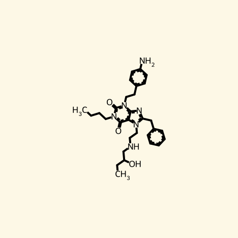 CCCCn1c(=O)c2c(nc(Cc3ccccc3)n2CCNCC(O)CC)n(CCc2ccc(N)cc2)c1=O